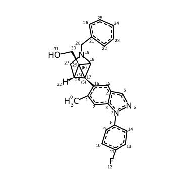 Cc1cc2c(cnn2-c2ccc(F)cc2)cc1[C@@]12C3N(Cc4ccccc4)C[C@@H]1[C@]32CO